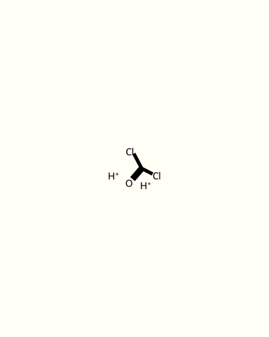 O=C(Cl)Cl.[H+].[H+]